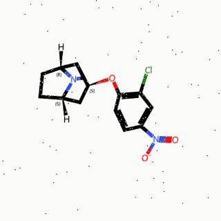 CN1[C@@H]2CC[C@H]1C[C@H](Oc1ccc([N+](=O)[O-])cc1Cl)C2